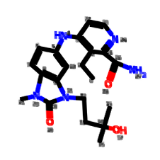 CCc1c(Nc2ccc3c(c2)n(CCC(C)(C)O)c(=O)n3C)ccnc1C(N)=O